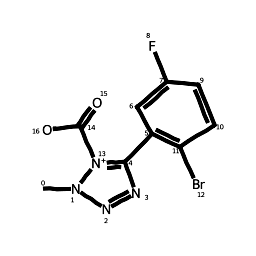 Cn1nnc(-c2cc(F)ccc2Br)[n+]1C(=O)[O-]